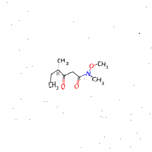 CC[C@H](C)C(=O)CC(=O)N(C)OC